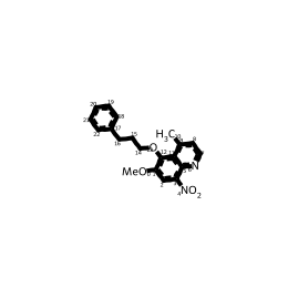 COc1cc([N+](=O)[O-])c2nccc(C)c2c1OCCCc1ccccc1